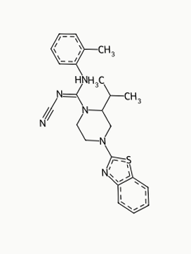 Cc1ccccc1N/C(=N/C#N)N1CCN(c2nc3ccccc3s2)CC1C(C)C